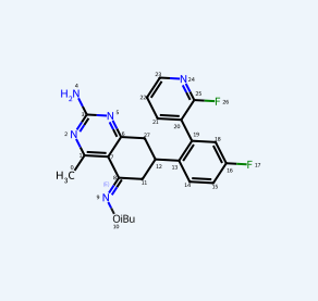 Cc1nc(N)nc2c1/C(=N/OCC(C)C)CC(c1ccc(F)cc1-c1cccnc1F)C2